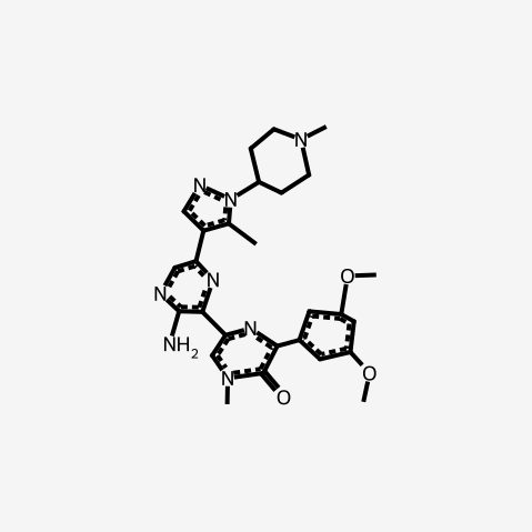 COc1cc(OC)cc(-c2nc(-c3nc(-c4cnn(C5CCN(C)CC5)c4C)cnc3N)cn(C)c2=O)c1